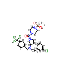 CN(Cc1ccc(C(F)(F)F)cc1)C1CN(C(=O)N2CCN(S(C)(=O)=O)CC2)C[C@@H]1c1ccc(Cl)cc1